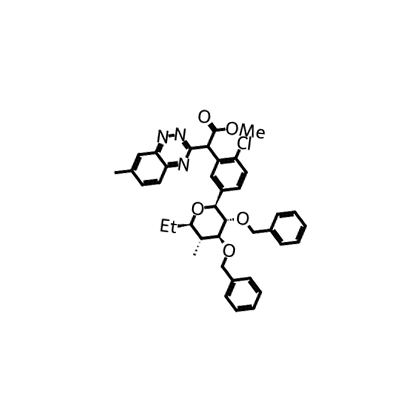 CC[C@H]1O[C@@H](c2ccc(Cl)c(C(C(=O)OC)c3nnc4cc(C)ccc4n3)c2)[C@H](OCc2ccccc2)[C@@H](OCc2ccccc2)[C@@H]1C